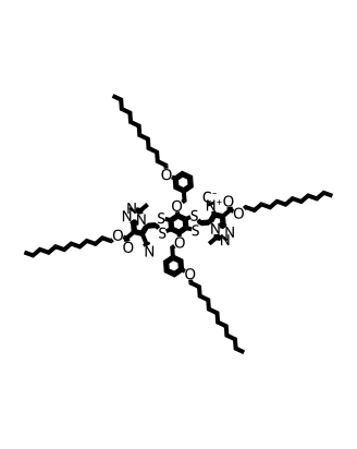 [C-]#[N+]c1c(C(=O)OCCCCCCCCCCCC)c2nnc(C)n2c1=C1Sc2c(OCc3cccc(OCCCCCCCCCCCC)c3)c3c(c(OCc4cccc(OCCCCCCCCCCCC)c4)c2S1)SC(=c1c(C#N)c(C(=O)OCCCCCCCCCCCC)c2nnc(C)n12)S3